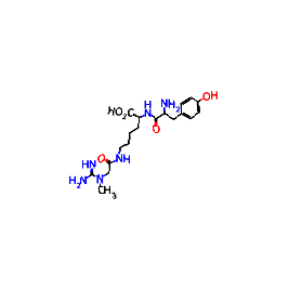 CN(CC(=O)NCCCC[C@H](NC(=O)C(N)Cc1ccc(O)cc1)C(=O)O)C(=N)N